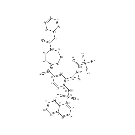 O=C(CC1C=CC=CC1)N1CCCN(C(=O)c2ccc(NS(=O)(=O)c3cccc4cccnc34)c(C3CN3C(=O)C(F)(F)F)c2)CC1